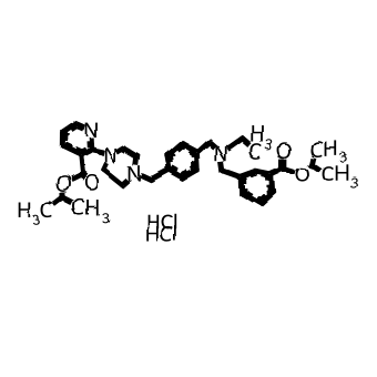 CCN(Cc1ccc(CN2CCN(c3ncccc3C(=O)OC(C)C)CC2)cc1)Cc1cccc(C(=O)OC(C)C)c1.Cl.Cl